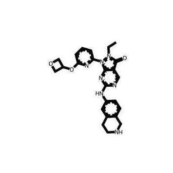 CCn1c(=O)c2cnc(Nc3ccc4c(c3)CCNC4)nc2n1-c1cccc(OC2COC2)n1